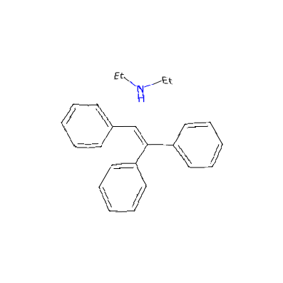 C(=C(c1ccccc1)c1ccccc1)c1ccccc1.CCNCC